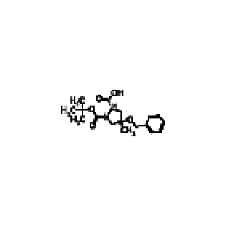 CC(C)(C)OC(=O)N1C[C@@](C)(OCc2ccccc2)C[C@H]1C(=O)O